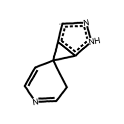 [c]1n[nH]c2c1C21C=CN=CC1